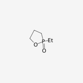 CCP1(=O)CCCO1